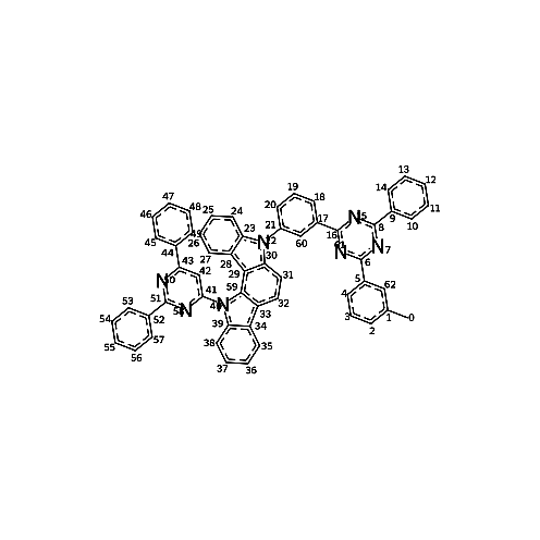 Cc1cccc(-c2nc(-c3ccccc3)nc(-c3cccc(-n4c5ccccc5c5c4ccc4c6ccccc6n(-c6cc(-c7ccccc7)nc(-c7ccccc7)n6)c45)c3)n2)c1